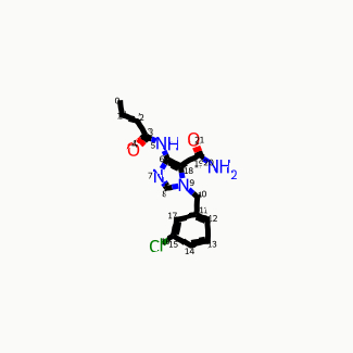 CCCC(=O)Nc1ncn(Cc2cccc(Cl)c2)c1C(N)=O